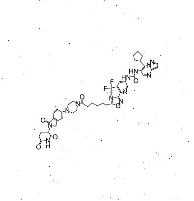 O=C1CCC(N2Cc3cc(N4CCN(C(=O)CCCCCc5nc(-c6ncc(NC(=O)Nc7cnc8ccnn8c7C7CCCC7)cc6C(F)(F)F)no5)CC4)ccc3C2=O)C(=O)N1